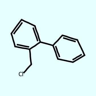 ClCc1ccccc1-c1ccccc1